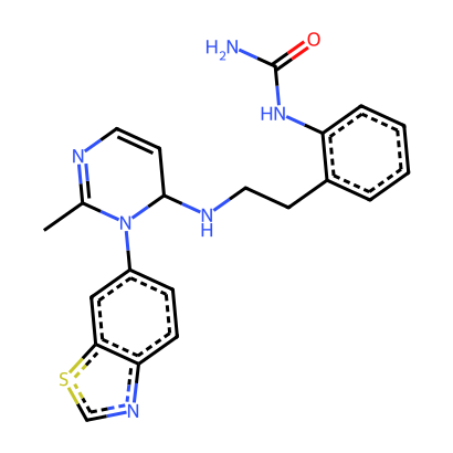 CC1=NC=CC(NCCc2ccccc2NC(N)=O)N1c1ccc2ncsc2c1